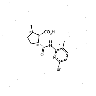 Cc1ccc(Br)nc1NC(=O)[C@@H]1CC[C@@H](C)N1C(=O)O